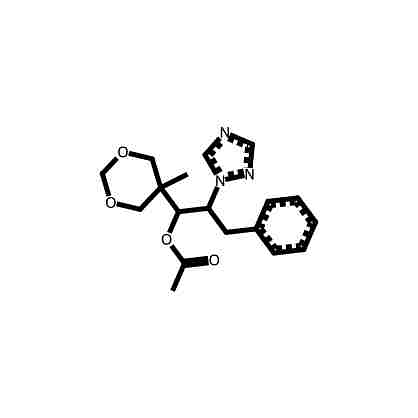 CC(=O)OC(C(Cc1ccccc1)n1cncn1)C1(C)COCOC1